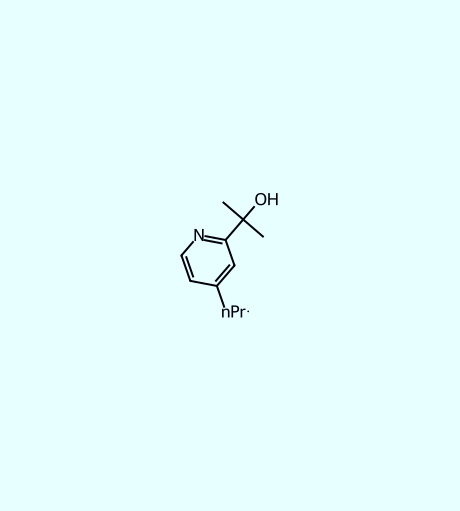 CC[CH]c1ccnc(C(C)(C)O)c1